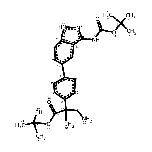 CC(C)(C)OC(=O)Nc1n[nH]c2ccc(-c3ccc(C(C)(CN)C(=O)OC(C)(C)C)cc3)cc12